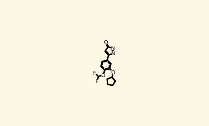 O=C1C=C(c2ccc(OC(F)F)c(OC3CCCC3)c2)N=N1